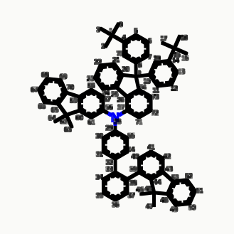 CC(C)(C)c1cccc(C2(c3cccc(C(C)(C)C)c3)c3ccccc3-c3c(N(c4ccc(-c5ccccc5-c5cccc6c5C(C)(C)c5ccccc5-6)cc4)c4ccc5c(c4)C(C)(C)c4ccccc4-5)cccc32)c1